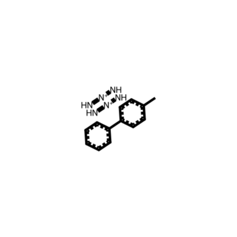 Cc1ccc(-c2ccccc2)cc1.N=[N+]=N.N=[N+]=N